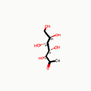 O=[C]([Cu])[C@H](O)[C@@H](O)[C@H](O)[C@H](O)CO